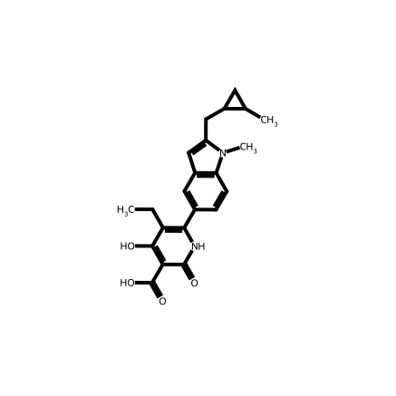 CCc1c(-c2ccc3c(c2)cc(CC2CC2C)n3C)[nH]c(=O)c(C(=O)O)c1O